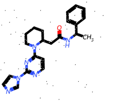 CC(NC(=O)CC1CCCCN1c1ccnc(-n2ccnc2)n1)c1ccccc1